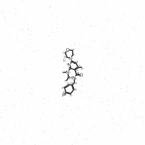 CCN(C)c1nc(N2CCOC[C@H]2C)cc(C)c1C(=O)NCc1ccc(F)cc1